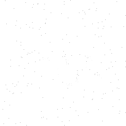 CC(CO)NC(=O)C(C)N